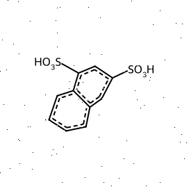 O=S(=O)(O)c1cc(S(=O)(=O)O)c2c[c]ccc2c1